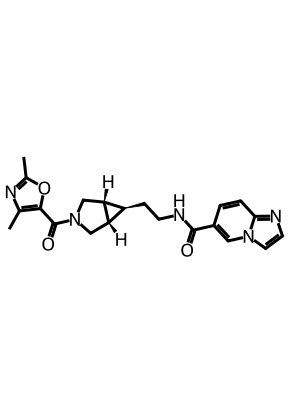 Cc1nc(C)c(C(=O)N2C[C@@H]3[C@@H](CCNC(=O)c4ccc5nccn5c4)[C@@H]3C2)o1